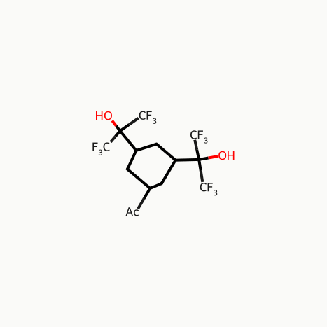 CC(=O)C1CC(C(O)(C(F)(F)F)C(F)(F)F)CC(C(O)(C(F)(F)F)C(F)(F)F)C1